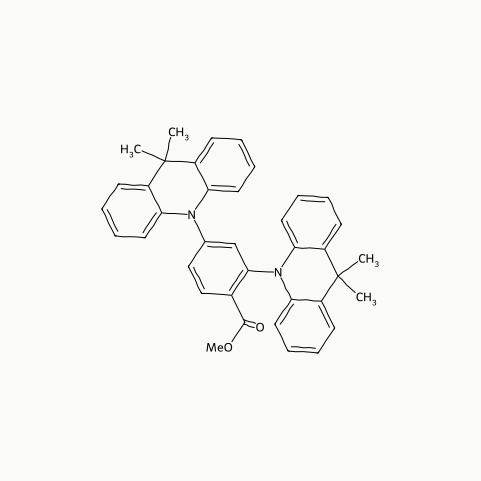 COC(=O)c1ccc(N2c3ccccc3C(C)(C)c3ccccc32)cc1N1c2ccccc2C(C)(C)c2ccccc21